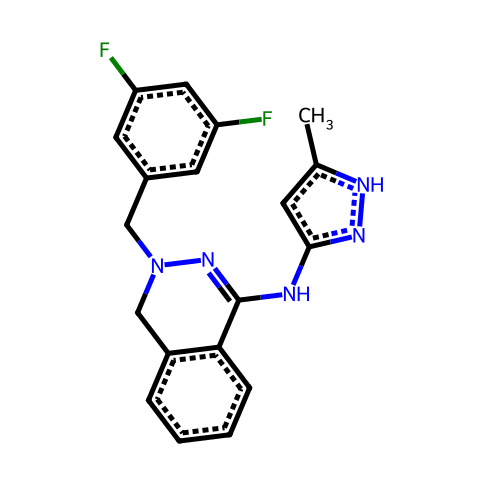 Cc1cc(NC2=NN(Cc3cc(F)cc(F)c3)Cc3ccccc32)n[nH]1